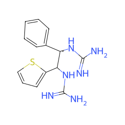 N=C(N)N[C](c1ccccc1)C(NC(=N)N)c1cccs1